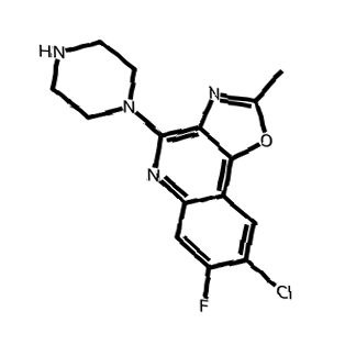 Cc1nc2c(N3CCNCC3)nc3cc(F)c(Cl)cc3c2o1